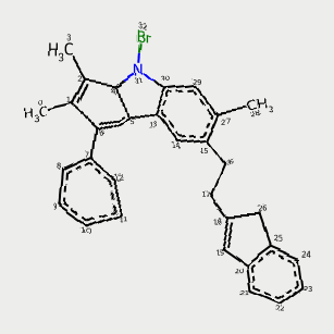 CC1=C(C)C2C(=C1c1ccccc1)c1cc(CCC3=Cc4ccccc4C3)c(C)cc1N2Br